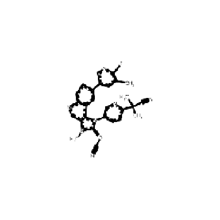 Cc1cc(-c2ccc3ncc4c(c3c2)n(-c2ccc(C(C)(C)C#N)nc2)c(=NC#N)n4C)cnc1F